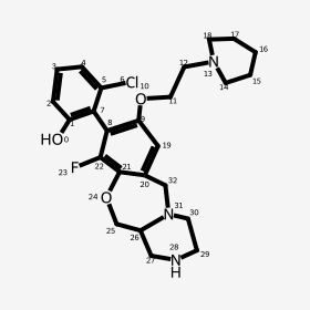 Oc1cccc(Cl)c1-c1c(OCCN2CCCCC2)cc2c(c1F)OCC1CNCCN1C2